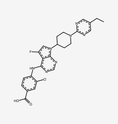 CCc1cnc(N2CCC(n3cc(F)c4c(Nc5ccc(C(=O)O)cc5Cl)ncnc43)CC2)nc1